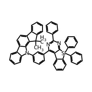 CC1(C)c2ccccc2-c2ccc3c4ccccc4n(-c4cccc(-c5nc(-c6ccccc6)nc6c5-c5ccccc5[Si]6(c5ccccc5)c5ccccc5)c4)c3c21